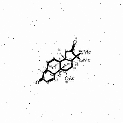 CSC1(SC)C(=O)C[C@H]2[C@@H]3CCC4=CC(=O)C=C[C@]4(C)[C@@]3(F)[C@@H](OC(C)=O)C[C@@]21C